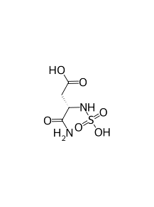 NC(=O)[C@H](CC(=O)O)NS(=O)(=O)O